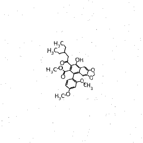 CCC(CC)CC(=O)c1c(C(=O)OC)c(-c2ccc(OC)cc2OC)c2cc3c(cc2c1O)OCO3